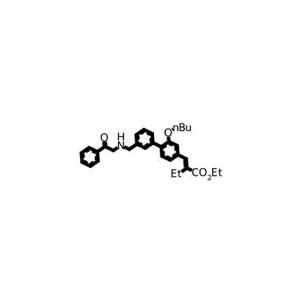 CCCCOc1cc(/C=C(\CC)C(=O)OCC)ccc1-c1cccc(CNCC(=O)c2ccccc2)c1